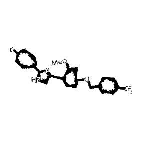 COc1cc(OCc2ccc(C(F)(F)F)cc2)ccc1-c1c[nH]c(-c2ccc(Cl)cc2)n1